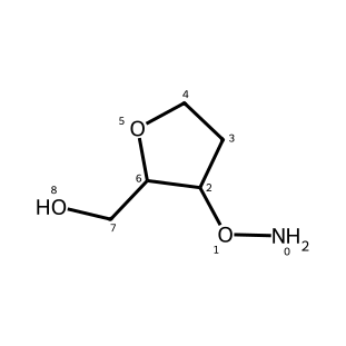 NOC1CCOC1CO